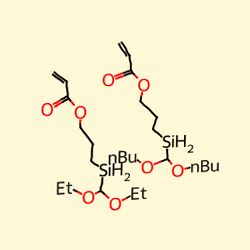 C=CC(=O)OCCC[SiH2]C(OCC)OCC.C=CC(=O)OCCC[SiH2]C(OCCCC)OCCCC